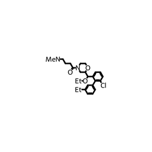 [CH2]COC(c1cccc(Cl)c1-c1cccc(CC)c1)C1CN(C(=O)CCCNC)CCO1